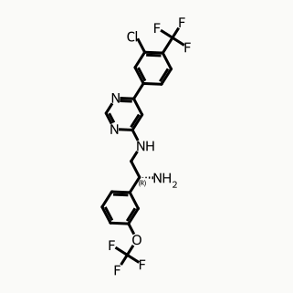 N[C@@H](CNc1cc(-c2ccc(C(F)(F)F)c(Cl)c2)ncn1)c1cccc(OC(F)(F)F)c1